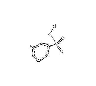 O=S(=O)(OCl)c1cccnc1